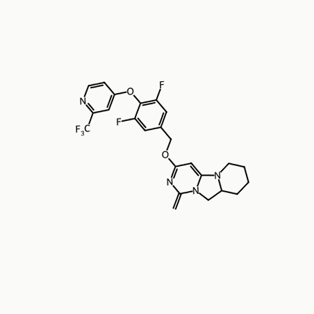 C=C1N=C(OCc2cc(F)c(Oc3ccnc(C(F)(F)F)c3)c(F)c2)C=C2N1CC1CCCCN21